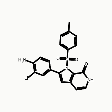 Cc1ccc(S(=O)(=O)n2c(-c3ccc(N)c(Cl)c3)cc3cc[nH]c(=O)c32)cc1